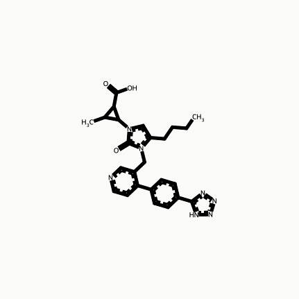 CCCCc1cn(C2C(C)C2C(=O)O)c(=O)n1Cc1cnccc1-c1ccc(-c2nnn[nH]2)cc1